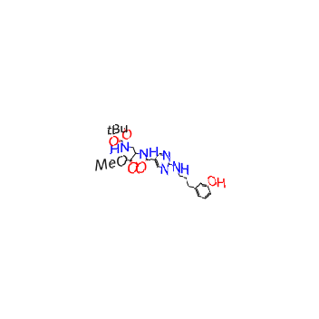 COC(=O)C(CNC(=O)OC(C)(C)C)NC(=O)c1cnc(NCCCc2cccc(O)c2)nc1